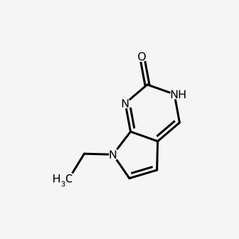 CCn1ccc2c[nH]c(=O)nc21